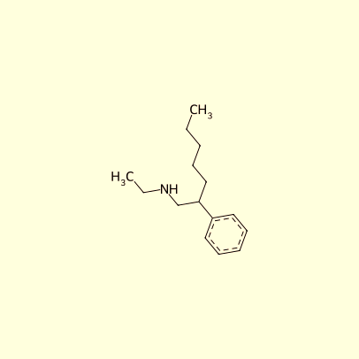 CCCCCC(CNCC)c1ccccc1